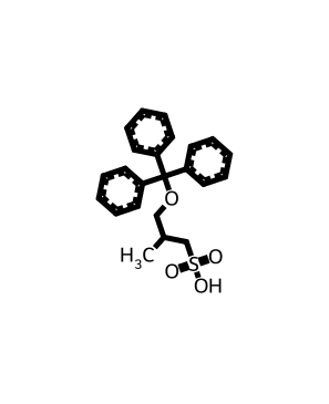 CC(COC(c1ccccc1)(c1ccccc1)c1ccccc1)CS(=O)(=O)O